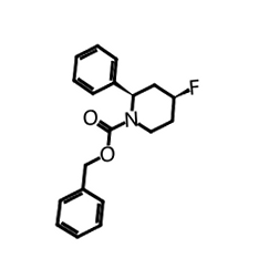 O=C(OCc1ccccc1)N1CC[C@H](F)C[C@@H]1c1ccccc1